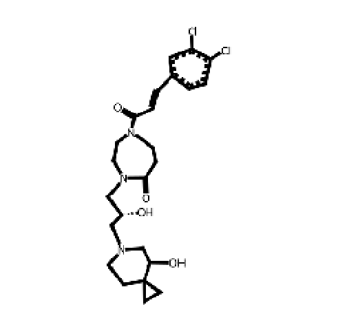 O=C(/C=C/c1ccc(Cl)c(Cl)c1)N1CCC(=O)N(C[C@H](O)CN2CCC3(CC3)C(O)C2)CC1